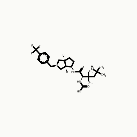 CC(C)(C)CC(C)(C)[C@H](NC(=O)O)C(=O)N[C@H]1CC[C@@H]2CN(Cc3ccc(C(F)(F)F)cc3)C[C@@H]21